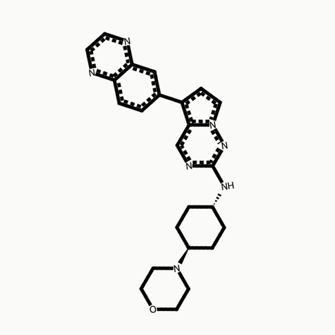 c1cnc2cc(-c3ccn4nc(N[C@H]5CC[C@H](N6CCOCC6)CC5)ncc34)ccc2n1